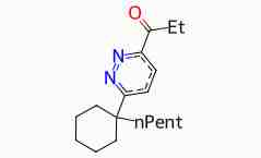 CCCCCC1(c2ccc(C(=O)CC)nn2)CCCCC1